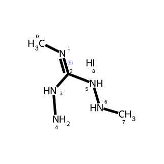 C/N=C(\NN)NNC.I